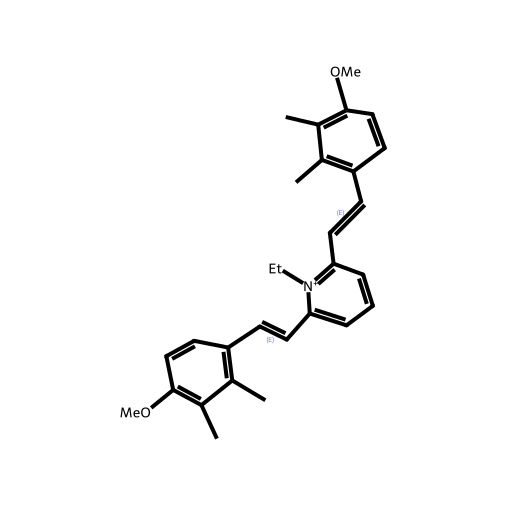 CC[n+]1c(/C=C/c2ccc(OC)c(C)c2C)cccc1/C=C/c1ccc(OC)c(C)c1C